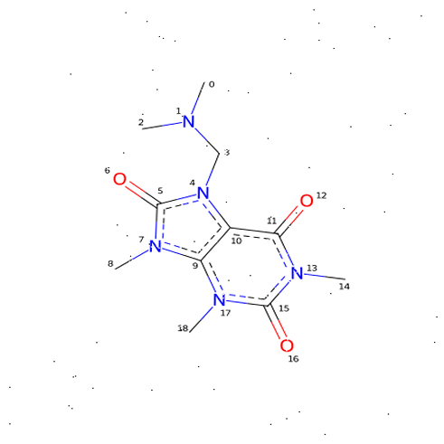 CN(C)Cn1c(=O)n(C)c2c1c(=O)n(C)c(=O)n2C